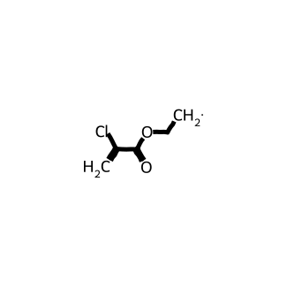 [CH2]COC(=O)C(=C)Cl